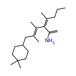 C=C(N)C(=C(/C)CCC)/C(C)=C(\C)CC1CCC(C)(C)CC1